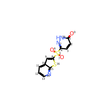 O=c1ccc(S(=O)(=O)c2cc3cccnc3s2)n[nH]1